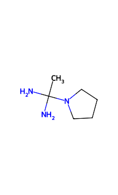 CC(N)(N)N1CCCC1